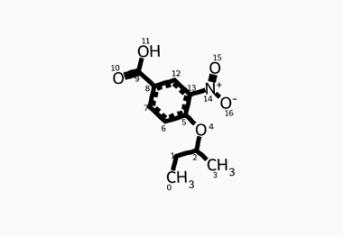 CCC(C)Oc1ccc(C(=O)O)cc1[N+](=O)[O-]